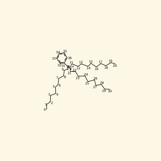 CCCCCCCCCC[N+](CCCCCCCCCC)(CCCCCCCCCC)c1ccccc1